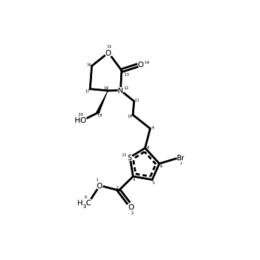 COC(=O)c1cc(Br)c(CCCN2C(=O)OCC[C@@H]2CO)s1